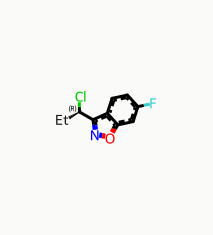 CC[C@@H](Cl)c1noc2cc(F)ccc12